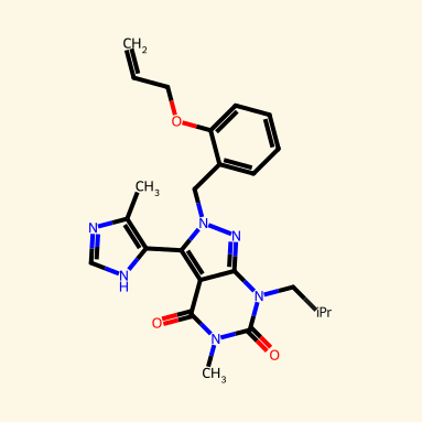 C=CCOc1ccccc1Cn1nc2c(c1-c1[nH]cnc1C)c(=O)n(C)c(=O)n2CC(C)C